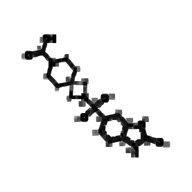 O=C(O)N1CCC2(CC1)CN(S(=O)(=O)c1ccc3[nH]c(=O)oc3c1)C2